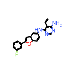 C=Cc1c(N)ncnc1NC1=CC2C=C(c3cccc(F)c3)OC2C=C1